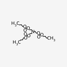 CCCCOC(=O)OCCN(CCOC(=O)OCCCC)CCOC(=O)OCCCC